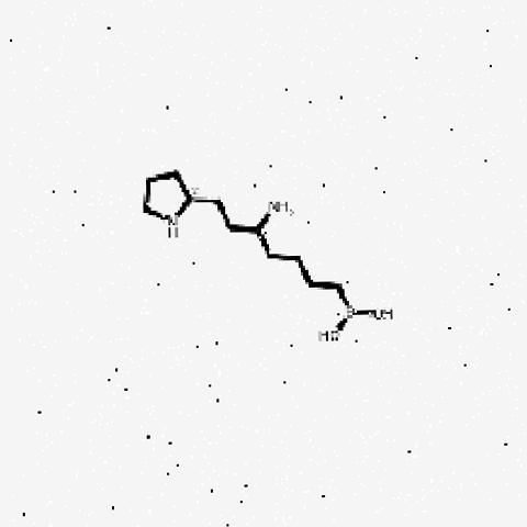 NC(CCCCB(O)O)CC[C@@H]1CCCN1